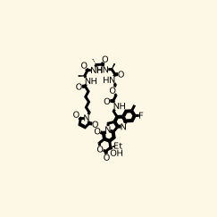 CC[C@@]1(O)C(=O)OCc2c1cc1n(c2=O)Cc2c-1nc1cc(F)c(C)cc1c2CNC(=O)COCNC(=O)[C@H](C)NC(=O)[C@@H](C)NC(=O)[C@H](C)NC(=O)CCCCCN1C(=O)C=CC1=O